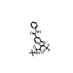 CC(C)(C)NC(=O)C(=O)c1c(C(F)(F)F)nc2cc(C(=O)Nc3ccccc3)ccn12